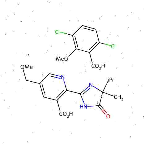 COCc1cnc(C2=NC(C)(C(C)C)C(=O)N2)c(C(=O)O)c1.COc1c(Cl)ccc(Cl)c1C(=O)O